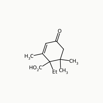 CCC1(C(=O)O)C(C)=CC(=O)CC1(C)C